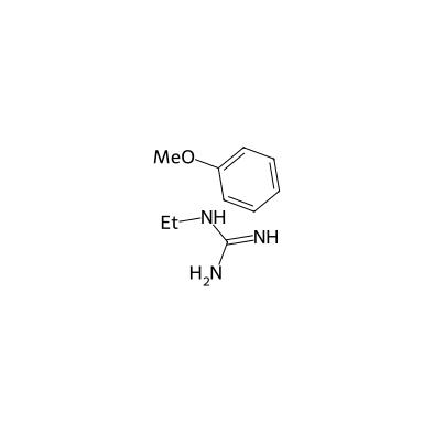 CCNC(=N)N.COc1ccccc1